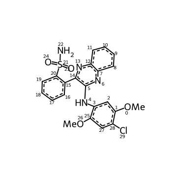 COc1cc(Nc2nc3ccccc3nc2-c2ccccc2S(N)(=O)=O)c(OC)cc1Cl